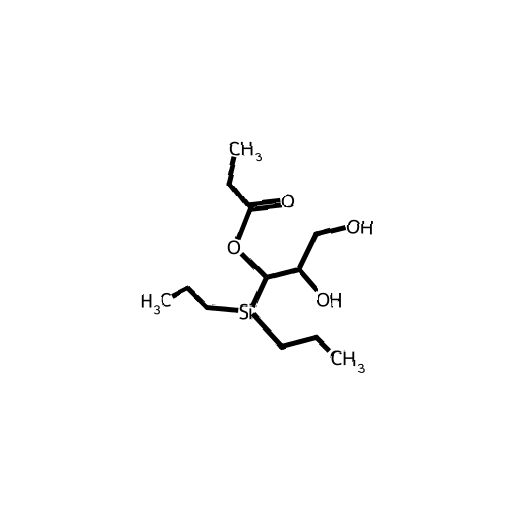 CCC[Si](CCC)C(OC(=O)CC)C(O)CO